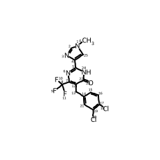 Cn1cnc(-c2nc(C(F)(F)F)c(Cc3ccc(Cl)c(Cl)c3)c(=O)[nH]2)c1